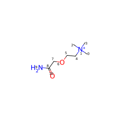 C[N+](C)(C)CCOCC(N)=O